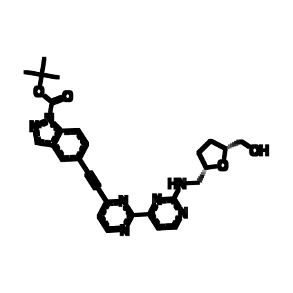 CC(C)(C)OC(=O)n1ncc2cc(C#Cc3ccnc(-c4ccnc(NC[C@@H]5CC[C@H](CO)O5)n4)n3)ccc21